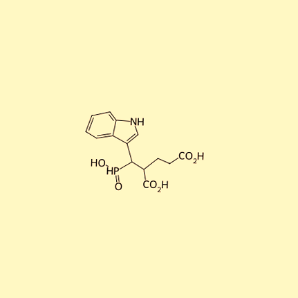 O=C(O)CCC(C(=O)O)C(c1c[nH]c2ccccc12)[PH](=O)O